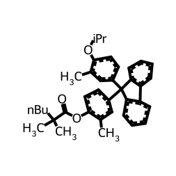 CCCCC(C)(C)C(=O)Oc1ccc(C2(c3ccc(OC(C)C)c(C)c3)c3ccccc3-c3ccccc32)cc1C